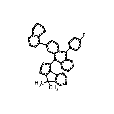 CC1(C)c2ccccc2-c2c(-c3c4ccccc4c(-c4ccc(F)cc4)c4ccc(-c5cccc6ccccc56)cc34)cccc21